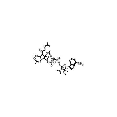 CO[C@@]1(C)[C@H](c2csc3c(N)ncnc23)O[C@H](COP(=O)(S)OP(=O)(O)OC2OC3(OC(C)=O)C2C(OC(C)=O)C(O)C3[C@@H](F)COC(C)=O)[C@H]1N(C)C